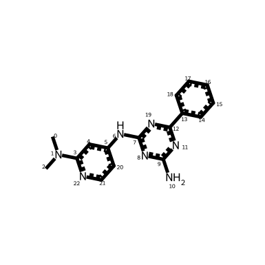 CN(C)c1cc(Nc2nc(N)nc(-c3ccccc3)n2)ccn1